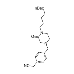 CCCCCCCCCCCCCCN1CCN(Cc2ccc(CC#N)cc2)CC1=O